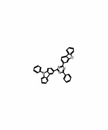 c1ccc(-c2nc(-c3ccc4c(c3)oc3ccccc34)nc(-c3ccc4c(c3)c3ccccc3n4-c3ccccc3)n2)cc1